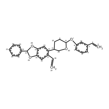 C=Cc1cccc(OC2CCC(c3cc4c(cc3C=C)OC(c3ccccc3)O4)CO2)c1